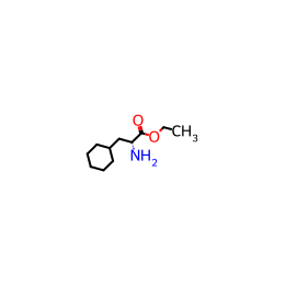 CCOC(=O)[C@H](N)CC1CCCCC1